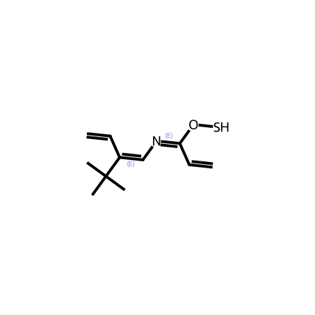 C=C/C(=C\N=C(/C=C)OS)C(C)(C)C